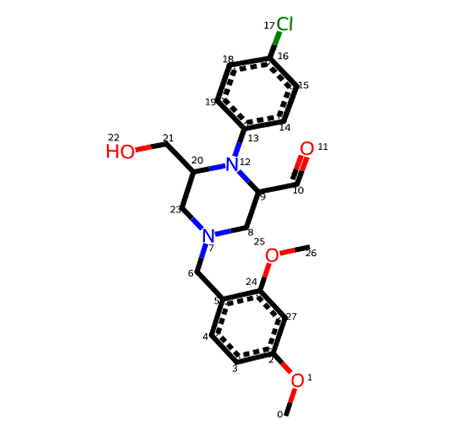 COc1ccc(CN2CC(C=O)N(c3ccc(Cl)cc3)C(CO)C2)c(OC)c1